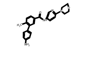 Cc1ccc(C(=O)Nc2ccc(N3CCOCC3)nc2)cc1-c1ccc(N)cc1